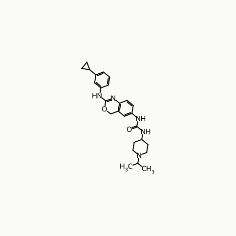 CC(C)N1CCC(NC(=O)Nc2ccc3c(c2)COC(Nc2cccc(C4CC4)c2)=N3)CC1